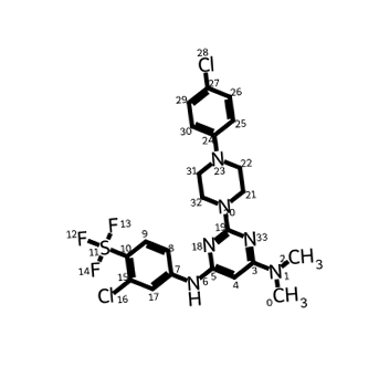 CN(C)c1cc(Nc2ccc(S(F)(F)F)c(Cl)c2)nc(N2CCN(c3ccc(Cl)cc3)CC2)n1